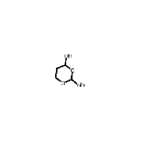 CCCC1OCCC(O)O1